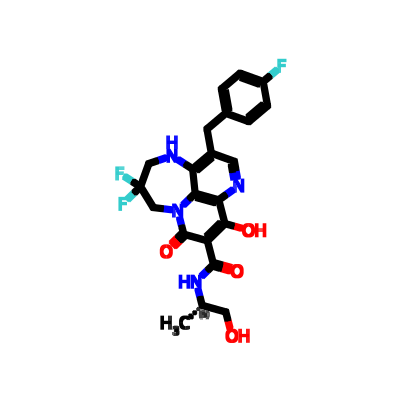 C[C@@H](CO)NC(=O)c1c(O)c2ncc(Cc3ccc(F)cc3)c3c2n(c1=O)CC(F)(F)CN3